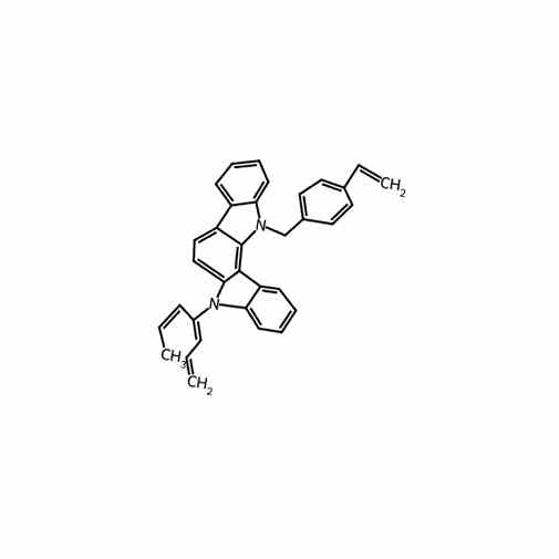 C=C/C=C(\C=C/C)n1c2ccccc2c2c3c(ccc21)c1ccccc1n3Cc1ccc(C=C)cc1